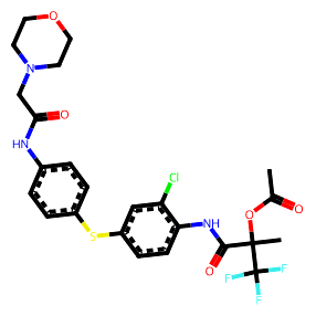 CC(=O)OC(C)(C(=O)Nc1ccc(Sc2ccc(NC(=O)CN3CCOCC3)cc2)cc1Cl)C(F)(F)F